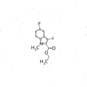 CCOC(=O)c1c(I)c2cc(F)ccc2n1C